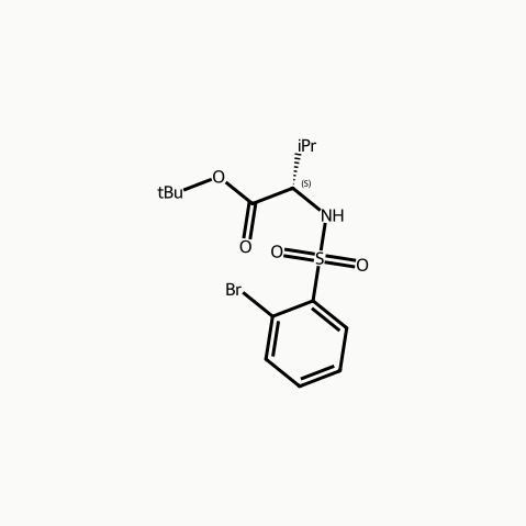 CC(C)[C@H](NS(=O)(=O)c1ccccc1Br)C(=O)OC(C)(C)C